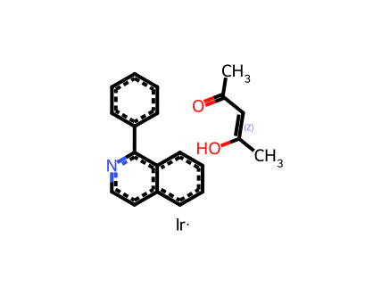 CC(=O)/C=C(/C)O.[Ir].c1ccc(-c2nccc3ccccc23)cc1